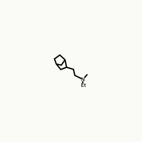 CCN(C)CCC1CC2CCC1C2